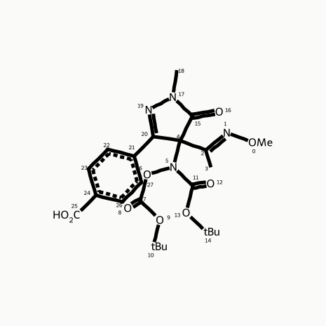 CON=C(C)C1(N(OC(=O)OC(C)(C)C)C(=O)OC(C)(C)C)C(=O)N(C)N=C1c1ccc(C(=O)O)cc1